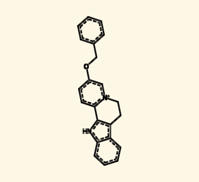 c1ccc(COc2ccc3[n+](c2)CCc2c-3[nH]c3ccccc23)cc1